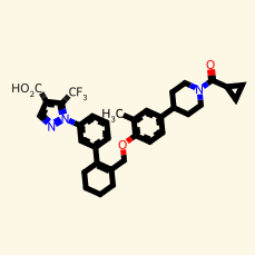 Cc1cc(C2CCN(C(=O)C3CC3)CC2)ccc1OCC1=C(c2cccc(-n3ncc(C(=O)O)c3C(F)(F)F)c2)CCCC1